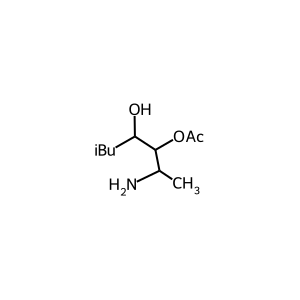 CCC(C)C(O)C(OC(C)=O)C(C)N